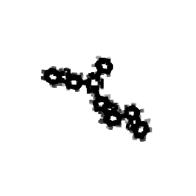 c1ccc(-c2nc(-c3ccc4c(c3)oc3ccccc34)nc(-c3ccc4c(c3)sc3c(-c5cccc6c5oc5ccccc56)cccc34)n2)cc1